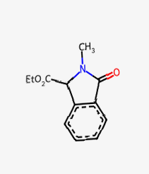 CCOC(=O)C1c2ccccc2C(=O)N1C